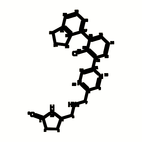 O=C1CCC(CNCc2cnc(-c3cccc(-c4cccc5c4CCC5)c3Cl)cn2)N1